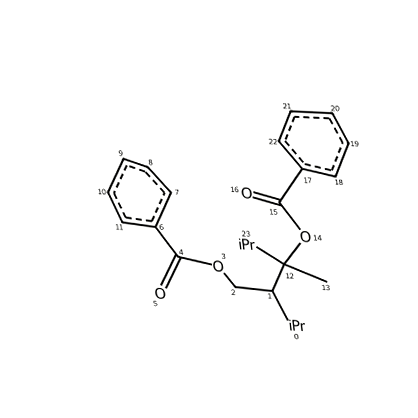 CC(C)C(COC(=O)c1ccccc1)C(C)(OC(=O)c1ccccc1)C(C)C